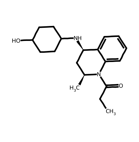 CCC(=O)N1c2ccccc2[C@H](NC2CCC(O)CC2)C[C@@H]1C